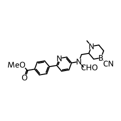 COC(=O)c1ccc(-c2ccc(N(C=O)CC3CB(C#N)CCN3C)cn2)cc1